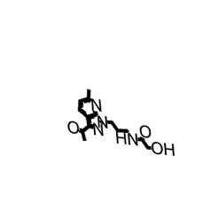 CC(=O)c1nn(CCCNC(=O)CO)c2nc(C)ccc12